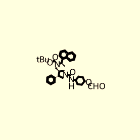 C[C@H](c1cccc2ccccc12)N(C[C@H]1CN(C(=O)NC2CCC(OC=O)CC2)C[C@@H]1c1ccccc1)C(=O)OC(C)(C)C